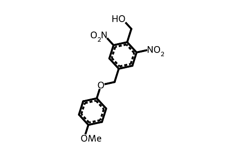 COc1ccc(OCc2cc([N+](=O)[O-])c(CO)c([N+](=O)[O-])c2)cc1